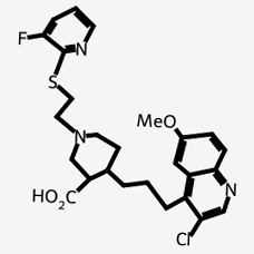 COc1ccc2ncc(Cl)c(CCCC3CCN(CCSc4ncccc4F)CC3C(=O)O)c2c1